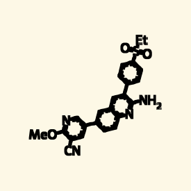 CCS(=O)(=O)c1ccc(-c2cc3cc(-c4cnc(OC)c(C#N)c4)ccc3nc2N)cc1